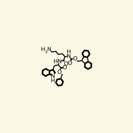 NCCCCC(NC(=O)OCC1c2ccccc2-c2ccccc21)C(=O)NC(Cc1c[nH]c2ccccc12)C(=O)OCc1ccccc1